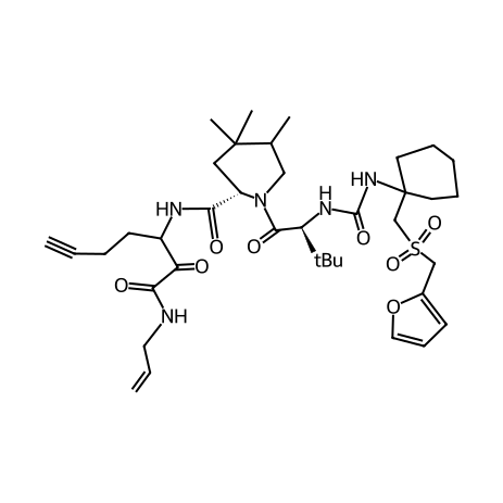 C#CCCC(NC(=O)[C@@H]1CC(C)(C)C(C)CN1C(=O)[C@@H](NC(=O)NC1(CS(=O)(=O)Cc2ccco2)CCCCC1)C(C)(C)C)C(=O)C(=O)NCC=C